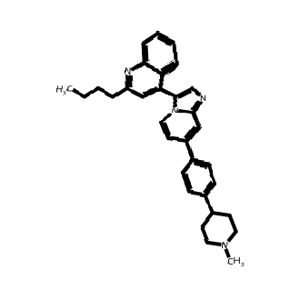 CCCCc1cc(-c2cnc3cc(-c4ccc(C5CCN(C)CC5)cc4)ccn23)c2ccccc2n1